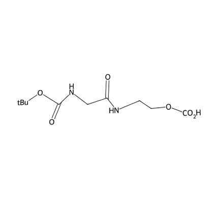 CC(C)(C)OC(=O)NCC(=O)NCCOC(=O)O